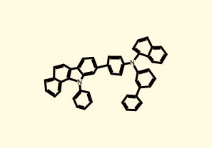 c1ccc(-c2cccc(N(c3ccc(-c4ccc5c6ccc7ccccc7c6n(-c6ccccc6)c5c4)cc3)c3cccc4ccccc34)c2)cc1